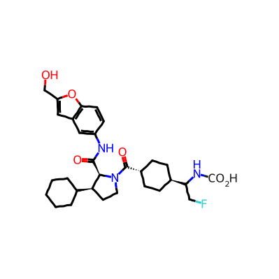 O=C(O)NC(CF)[C@H]1CC[C@H](C(=O)N2CC[C@@H](C3CCCCC3)[C@H]2C(=O)Nc2ccc3oc(CO)cc3c2)CC1